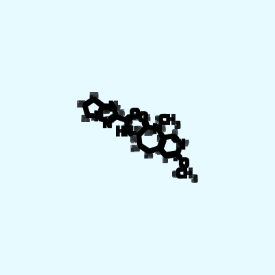 COc1cc2c(cn1)N(C)C(=O)[C@@H](NC(=O)c1nc3n(n1)CCC3)CC2